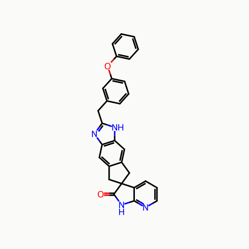 O=C1Nc2ncccc2C12Cc1cc3nc(Cc4cccc(Oc5ccccc5)c4)[nH]c3cc1C2